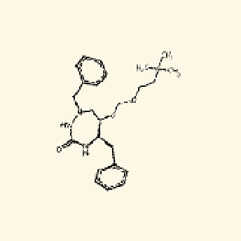 C[Si](C)(C)CCOCO[C@@H]1CN(Cc2ccccc2)NC(=O)N[C@@H]1Cc1ccccc1